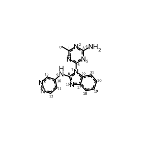 Cc1nc(N)nc(-n2c(Nc3ccnnc3)nc3ccccc32)n1